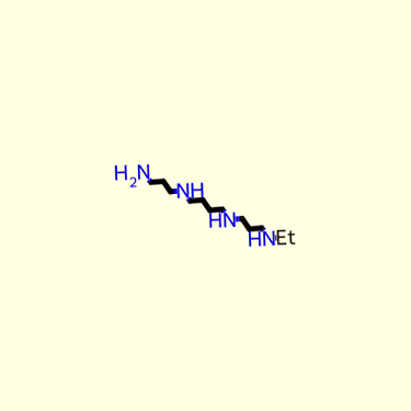 CCNCCCNCCCCNCCCN